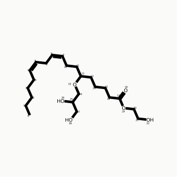 CCCCC/C=C\C/C=C\CCC(CCCCC(=O)OCCO)OCC(O)CO